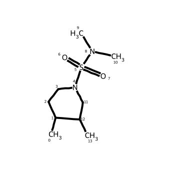 CC1CCN(S(=O)(=O)N(C)C)CC1C